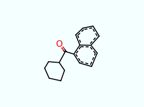 O=C(c1cccc2ccccc12)C1CCCCC1